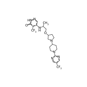 CC(COC1CCN(C2CCN(c3ncc(C(F)(F)F)cn3)CC2)C1)Nc1cn[nH]c(=O)c1C(F)(F)F